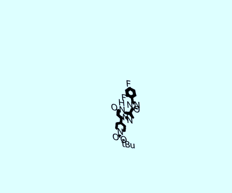 CC(C)(C)OC(=O)N1CCC(c2cc(=O)[nH]c3c(-c4nc(-c5ccc(F)cc5F)no4)cnn23)CC1